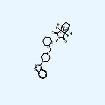 O=C1[C@@H]2[C@H]3CC[C@H](C3)[C@@H]2C(=O)N1C[C@H]1CCCC[C@@H]1CN1CCN(c2nsc3ccccc23)CC1